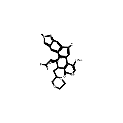 COc1c[nH]c(=O)c(C(CC2COCCO2)C(=O)Nc2ccc3nn(C)cc3c2)c1-c1cc(Cl)ccc1OCC(F)F